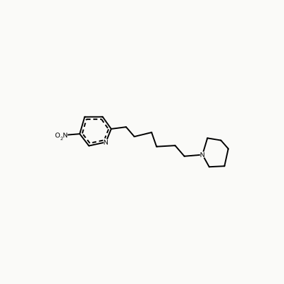 O=[N+]([O-])c1ccc(CCCCCCN2CCCCC2)nc1